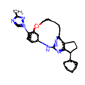 Cc1ncn(-c2ccc3cc2OCCCCCc2nc(nc4c2CCC4c2ccccc2)N3)n1